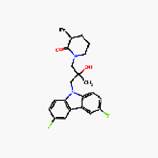 CC(C)C1CCCN(CC(C)(O)Cn2c3ccc(F)cc3c3cc(F)ccc32)C1=O